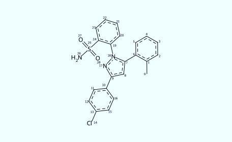 Cc1ccccc1-c1cc(-c2ccc(Cl)cc2)nn1-c1ccccc1S(N)(=O)=O